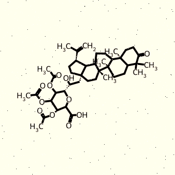 C=C(C)[C@@H]1CC[C@]2(CC(O)[C@@H]3OC(C(=O)O)[C@@H](OC(C)=O)C(OC(C)=O)C3OC(C)=O)CC[C@]3(C)C(CCC4[C@@]5(C)CCC(=O)C(C)(C)C5CC[C@]43C)C12